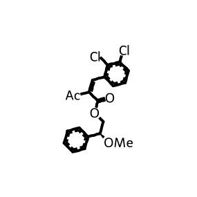 CO[C@H](COC(=O)/C(=C\c1cccc(Cl)c1Cl)C(C)=O)c1ccccc1